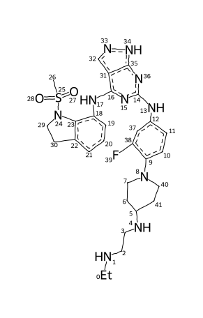 CCNCCNC1CCN(c2ccc(Nc3nc(Nc4cccc5c4N(S(C)(=O)=O)CC5)c4cn[nH]c4n3)cc2F)CC1